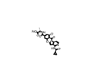 C[C@H](NC(=O)c1cc(Cl)c(C(=O)n2ccc3c(NC(=O)C4CC4)nccc32)c(Cl)c1)C(=O)O